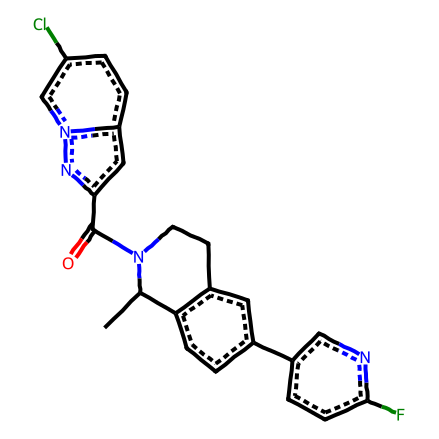 CC1c2ccc(-c3ccc(F)nc3)cc2CCN1C(=O)c1cc2ccc(Cl)cn2n1